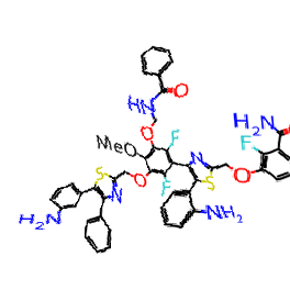 COc1c(OCNC(=O)c2ccccc2)c(F)c(-c2nc(COc3ccc(F)c(C(N)=O)c3F)sc2-c2ccccc2N)c(F)c1OCc1nc(-c2ccccc2)c(-c2cccc(N)c2)s1